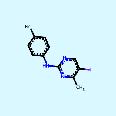 Cc1nc(Nc2ccc(C#N)cc2)ncc1I